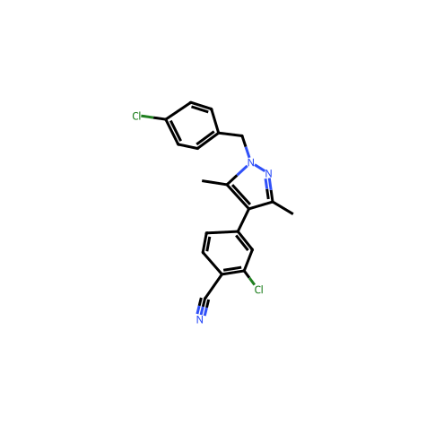 Cc1nn(Cc2ccc(Cl)cc2)c(C)c1-c1ccc(C#N)c(Cl)c1